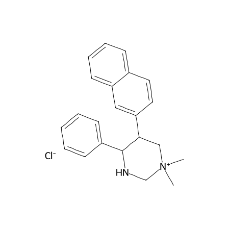 C[N+]1(C)CNC(c2ccccc2)C(c2ccc3ccccc3c2)C1.[Cl-]